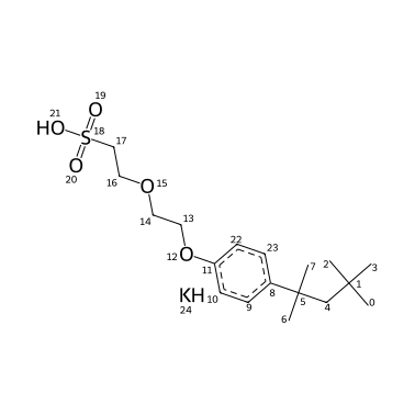 CC(C)(C)CC(C)(C)c1ccc(OCCOCCS(=O)(=O)O)cc1.[KH]